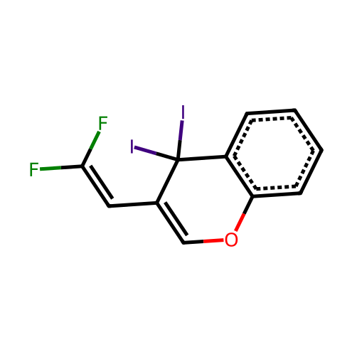 FC(F)=CC1=COc2ccccc2C1(I)I